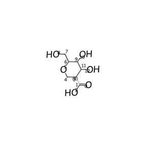 O=C(O)[C@@H]1COC(CO)C(O)C1O